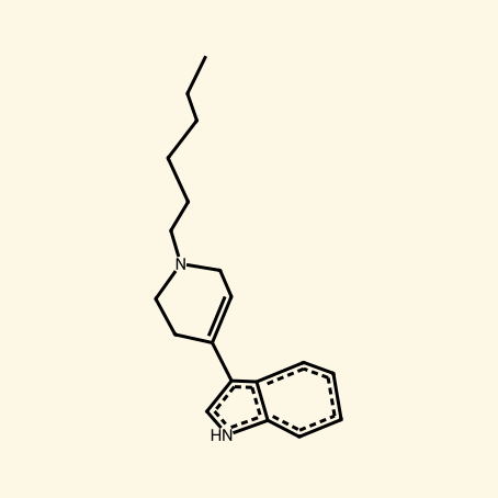 CCCCCCN1CC=C(c2c[nH]c3ccccc23)CC1